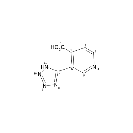 O=C(O)c1ccncc1-c1nnn[nH]1